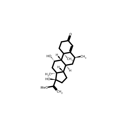 C=C(OC)[C@@]1(O)CC[C@H]2[C@@H]3C[C@H](C)C4=CC(=O)CC[C@]4(C)[C@H]3[C@@H](O)C[C@@]21C